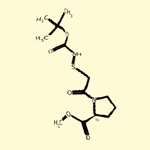 COC(=O)[C@@H]1CCCN1C(=O)CSNC(=O)OC(C)(C)C